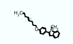 C=CC/C=C/CCCOc1ccc(-c2cc3ccccc3n2C)cc1